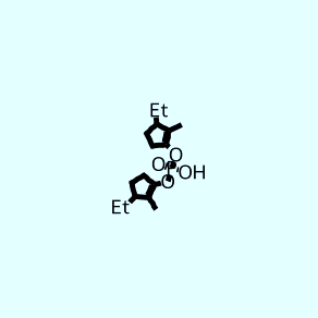 CCC1CCC(OP(=O)(O)OC2=C(C)C(CC)CC2)=C1C